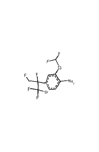 Nc1ccc(C(F)(CF)C(F)(F)Br)cc1OC(F)F